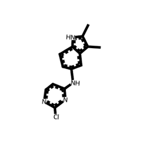 Cc1[nH]c2ccc(Nc3ccnc(Cl)n3)cc2c1C